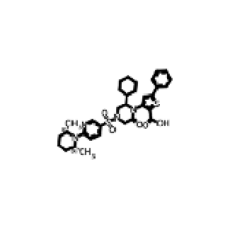 C[C@@H]1CCC[C@H](C)N1c1ccc(S(=O)(=O)N2CC(=O)N(c3cc(-c4ccccc4)sc3C(=O)O)C(C3CCCCC3)C2)cn1